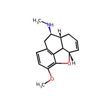 CN[C@@H]1Cc2ccc(OC)c3c2C2[C@H](C=CC[C@H]21)O3